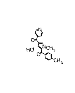 Cc1ccc(C(=O)c2cc(C(=O)c3ccncc3)cn2C)cc1.Cl